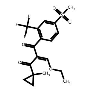 CCOC=C(C(=O)c1ccc(S(C)(=O)=O)cc1C(F)(F)F)C(=O)C1(C)CC1